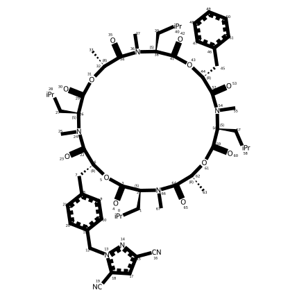 CC(C)C[C@H]1C(=O)O[C@H](Cc2ccc(Cn3nc(C#N)cc3C#N)cc2)C(=O)N(C)[C@@H](CC(C)C)C(=O)O[C@H](C)C(=O)N(C)[C@@H](CC(C)C)C(=O)O[C@H](Cc2ccccc2)C(=O)N(C)[C@@H](CC(C)C)C(=O)O[C@H](C)C(=O)N1C